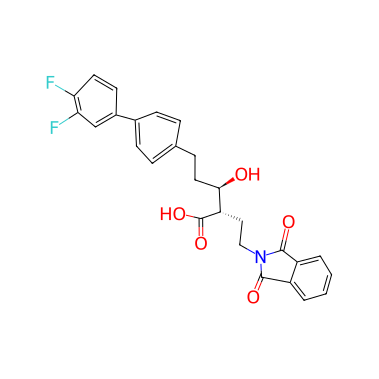 O=C(O)[C@@H](CCN1C(=O)c2ccccc2C1=O)[C@H](O)CCc1ccc(-c2ccc(F)c(F)c2)cc1